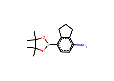 CC1(C)OB(c2ccc(N)c3c2CCC3)OC1(C)C